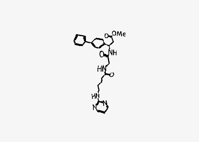 COC(=O)CC(NC(=O)CNC(=O)CCCCNc1ncccn1)c1ccc(-c2ccccc2)cc1